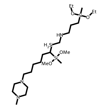 CCO[Si](C)(CCCNC[SiH2]C(CCCCCN1CCN(C)CC1)[Si](C)(OC)OC)OCC